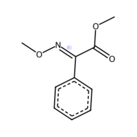 CO/N=C(/C(=O)OC)c1ccccc1